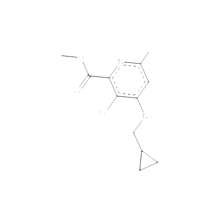 COC(=O)c1nc(Cl)cc(NCC2CC2)c1Br